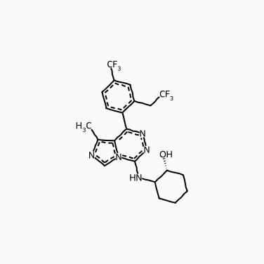 Cc1ncn2c(NC3CCCC[C@H]3O)nnc(-c3ccc(C(F)(F)F)cc3CC(F)(F)F)c12